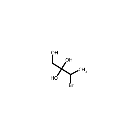 CC(Br)C(O)(O)CO